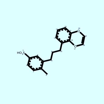 Cc1ccc(S(=O)(=O)O)cc1CCCc1cccc2c1OC=CO2